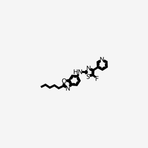 CCCCCc1nc2ccc(Nc3nc(-c4cccnc4)c(F)s3)cc2o1